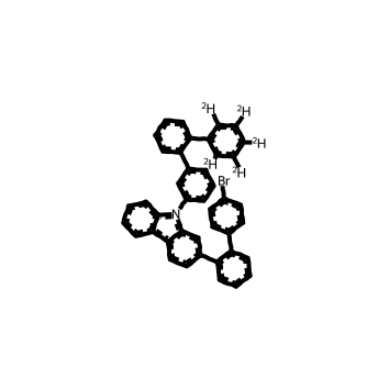 [2H]c1c([2H])c([2H])c(-c2ccccc2-c2cccc(-n3c4ccccc4c4ccc(-c5ccccc5-c5ccc(Br)cc5)cc43)c2)c([2H])c1[2H]